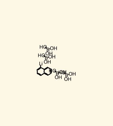 OB(O)O.OB(O)O.OB(O)O.OB(O)O.[Li][c]1cccc2ccccc12